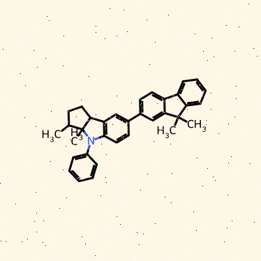 CC1CCC2c3cc(-c4ccc5c(c4)C(C)(C)c4ccccc4-5)ccc3N(c3ccccc3)C12C